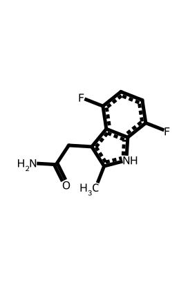 Cc1[nH]c2c(F)ccc(F)c2c1CC(N)=O